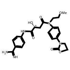 COCCN(C(=O)C[C@@H](O)C(=O)Nc1ccc(C(=N)N)cc1)c1ccc(N2CCOC2=O)cc1